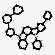 c1ccc(-c2cccc(-c3cccc(-n4c5ccccc5c5c4ccc4c6cc(-c7ccccc7)ccc6n(-c6ccccc6)c45)c3)c2)cc1